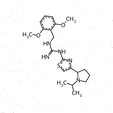 COc1cccc(OC)c1CNC(=N)Nc1nc(C2CCCN2C(C)C)cs1